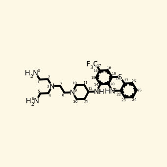 NCCN(CCN)CCN1CCC(Nc2cc(C(F)(F)F)cc3c2Nc2ccccc2S3)CC1